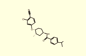 CC(C)c1ccc(C(=O)N[C@@H]2CC[C@@H](Oc3ccc(C#N)c(Cl)c3)[C@@H](C)C2)cc1